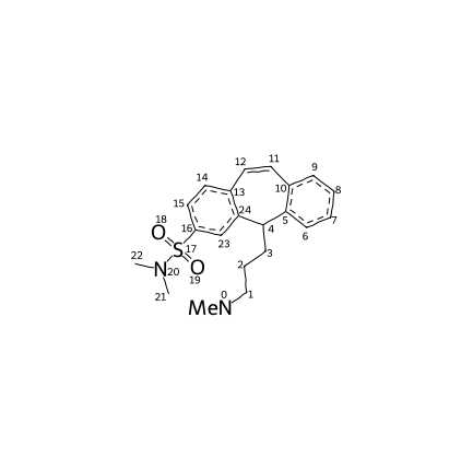 CNCCCC1c2ccccc2C=Cc2ccc(S(=O)(=O)N(C)C)cc21